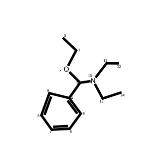 CCOC(c1ccccc1)N(CC)CC